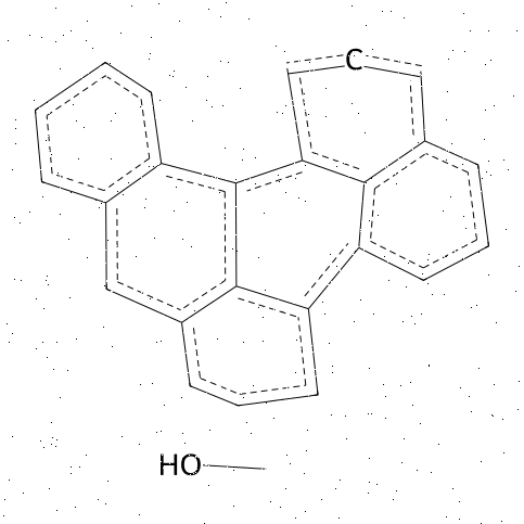 CO.c1ccc2c(c1)cc1cccc3c4cccc5cccc(c54)c2c13